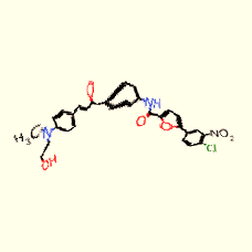 CN(CCO)c1ccc(/C=C/C(=O)c2ccc(NC(=O)c3ccc(-c4ccc(Cl)c([N+](=O)[O-])c4)o3)cc2)cc1